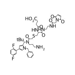 CC(C)(C)C(c1cc(-c2cc(F)ccc2F)cn1Cc1ccccc1)N(CCCN)C(=O)CSCC(NC(=O)CCC(=O)O)C(=O)NCCNC(=O)CN1C(=O)C=CC1=O